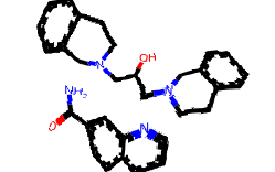 NC(=O)c1ccc2cccnc2c1.OC(CN1CCc2ccccc2C1)CN1CCc2ccccc2C1